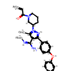 C=CC(=O)N1CCCC(n2nc(-c3ccc(Oc4ccccc4)cc3)c(/C(N)=N\OC)c2C=O)C1